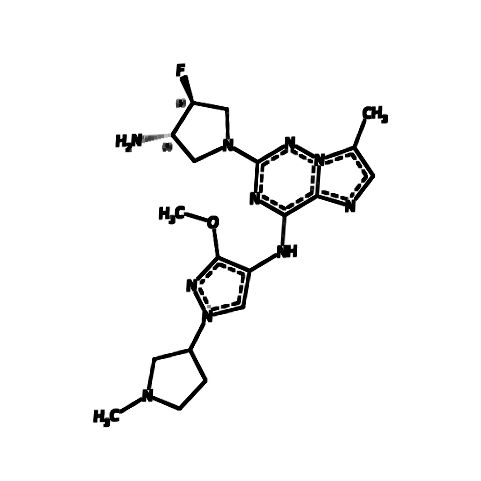 COc1nn(C2CCN(C)C2)cc1Nc1nc(N2C[C@H](N)[C@@H](F)C2)nn2c(C)cnc12